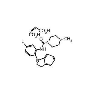 CN1CCN(C(=O)Nc2cc(F)ccc2N2CCc3ccccc32)CC1.O=C(O)/C=C\C(=O)O